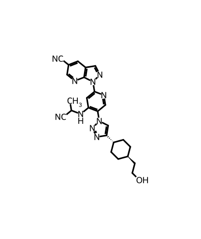 CC(C#N)Nc1cc(-n2ncc3cc(C#N)cnc32)ncc1-n1cc([C@H]2CC[C@H](CCO)CC2)nn1